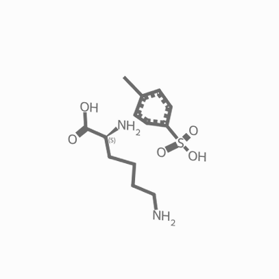 Cc1ccc(S(=O)(=O)O)cc1.NCCCC[C@H](N)C(=O)O